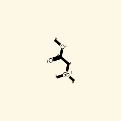 COC(=O)[CH2][Sb]([CH3])[CH3]